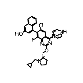 Oc1cc(-c2c(Cl)cc3c(N4CC5CCCC4CN5)nc(OC[C@@H]4CCCN4CC4CC4)nc3c2F)c2ccccc2c1